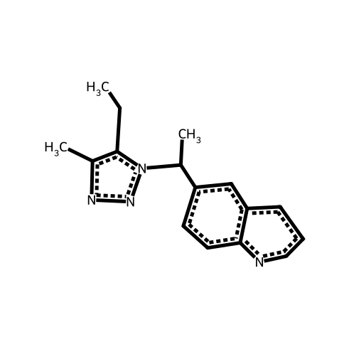 CCc1c(C)nnn1C(C)c1ccc2ncccc2c1